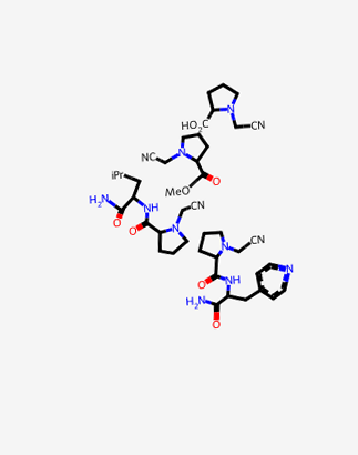 CC(C)CC(NC(=O)C1CCCN1CC#N)C(N)=O.COC(=O)C1CCCN1CC#N.N#CCN1CCCC1C(=O)NC(Cc1ccncc1)C(N)=O.N#CCN1CCCC1C(=O)O